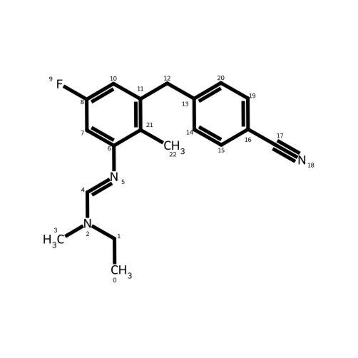 CCN(C)C=Nc1cc(F)cc(Cc2ccc(C#N)cc2)c1C